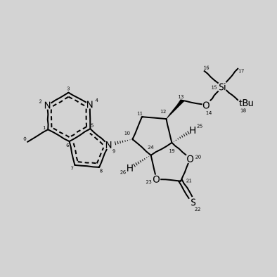 Cc1ncnc2c1ccn2[C@@H]1C[C@@H](CO[Si](C)(C)C(C)(C)C)[C@H]2OC(=S)O[C@H]21